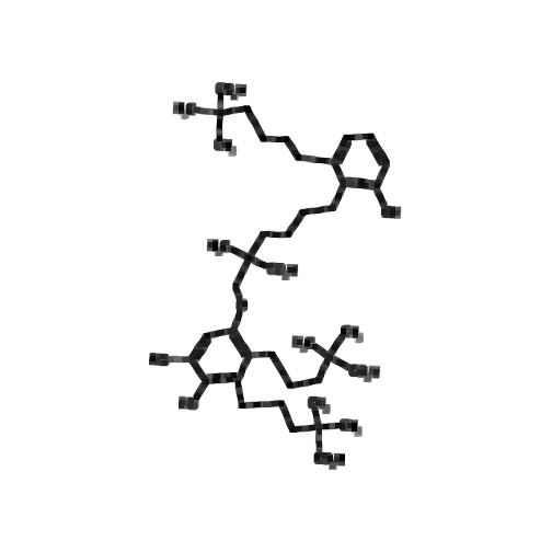 CC(C)(CCCCc1cccc(O)c1CCCCC(C)(COc1cc(O)c(O)c(CCCC(C)(C)C(=O)O)c1CCCC(C)(C)C(=O)O)C(=O)O)C(=O)O